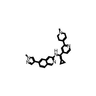 CN1CC=C(c2cc(C(Nc3cc4cc(-c5cnn(C)c5)ccc4cn3)=C3CC3)ccn2)CC1